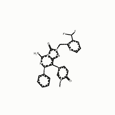 Cn1cc(-c2c(-c3ccccc3)nc(N)n3c(=O)n(Cc4ncccc4C(F)F)nc23)ccc1=O